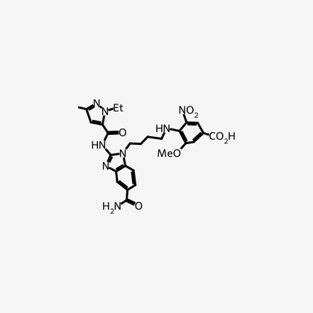 CCn1nc(C)cc1C(=O)Nc1nc2cc(C(N)=O)ccc2n1CCCCNc1c(OC)cc(C(=O)O)cc1[N+](=O)[O-]